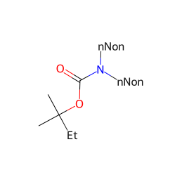 CCCCCCCCCN(CCCCCCCCC)C(=O)OC(C)(C)CC